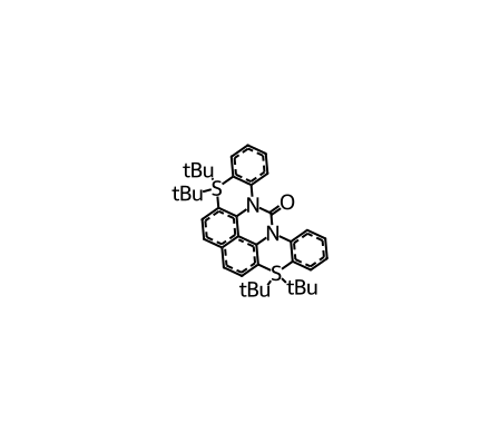 CC(C)(C)S1(C(C)(C)C)c2ccccc2N2C(=O)N3c4ccccc4S(C(C)(C)C)(C(C)(C)C)c4ccc5ccc1c2c5c43